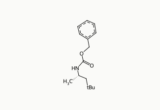 C[C@@H](CC(C)(C)C)NC(=O)OCc1ccccc1